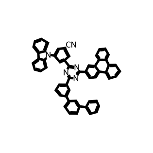 N#Cc1cc(-c2nc(-c3cccc(-c4cccc(-c5ccccc5)c4)c3)nc(-c3ccc4c5ccccc5c5ccccc5c4c3)n2)cc(-n2c3ccccc3c3ccccc32)c1